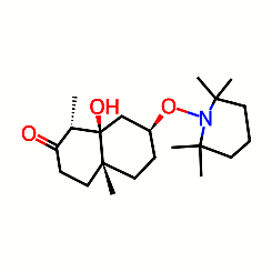 C[C@H]1C(=O)CC[C@@]2(C)CC[C@H](ON3C(C)(C)CCCC3(C)C)C[C@@]12O